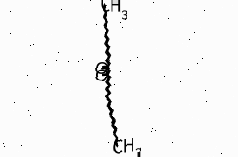 CCCCCC=CCC=CCCCCCCCC(=O)CC(=O)CCCCCCCCCCCCCCC